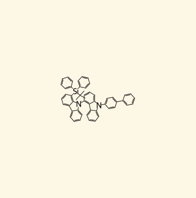 CC(C)(C)[Si](c1ccccc1)(c1ccccc1)c1cccc2c3ccccc3n(-c3cccc4c3c3ccccc3n4-c3ccc(-c4ccccc4)cc3)c12